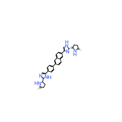 C[C@H]1CCC(c2ncc(-c3ccc(-c4ccc5cc(-c6c[nH]c([C@@H]7CC[C@H](C)N7)n6)ccc5c4)cc3)[nH]2)N1